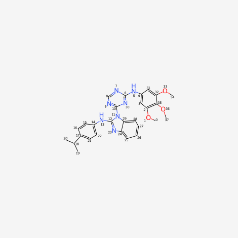 COc1cc(Nc2ncnc(-n3c(Nc4ccc(C(C)C)cc4)nc4ccccc43)n2)cc(OC)c1OC